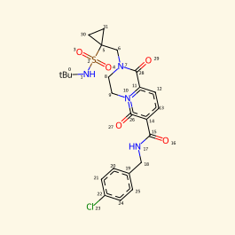 CC(C)(C)NS(=O)(=O)C1(CN2CCn3c(ccc(C(=O)NCc4ccc(Cl)cc4)c3=O)C2=O)CC1